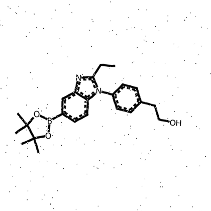 CCc1nc2cc(B3OC(C)(C)C(C)(C)O3)ccc2n1-c1ccc(CCO)cc1